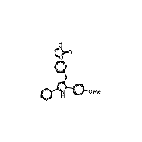 COc1ccc(-c2[nH]c(-c3ccccc3)cc2Cc2ccccc2)cc1.O=c1[nH]cco1